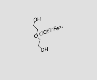 OCCOCCO.[Cl-].[Cl-].[Cl-].[Fe+3]